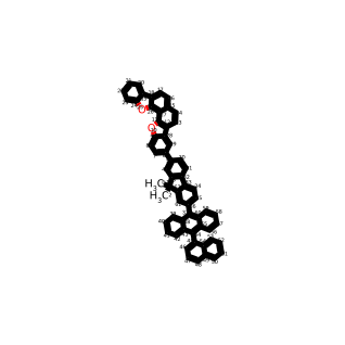 CC1(C)c2cc(-c3ccc4oc5c(ccc6ccc7c8ccccc8oc7c65)c4c3)ccc2-c2ccc(-c3c4ccccc4c(-c4cccc5ccccc45)c4ccccc34)cc21